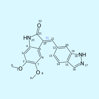 COc1cc2c(cc1OC)/C(=C\c1ccc3cn[nH]c3c1)C(=O)N2